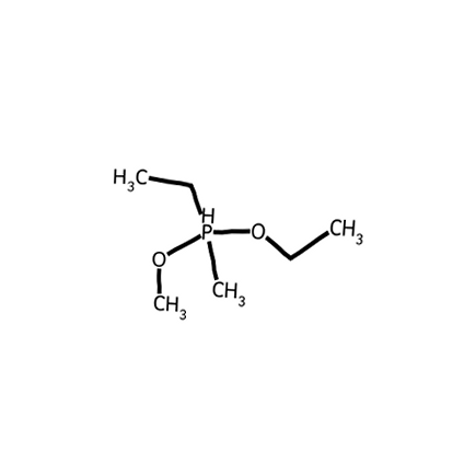 CCO[PH](C)(CC)OC